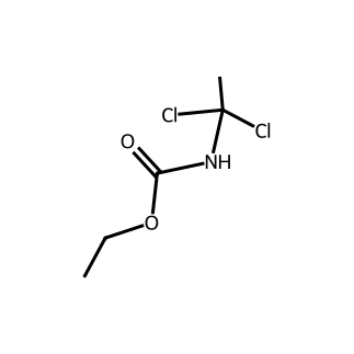 CCOC(=O)NC(C)(Cl)Cl